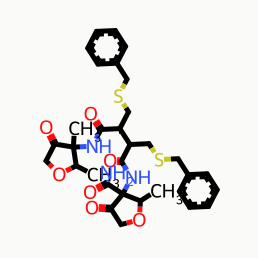 CC1OCC(=O)C1(C)NC(=O)[C](CSCc1ccccc1)C(CSCc1ccccc1)C(=O)NC1(C(N)=O)C(=O)COC1C